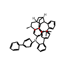 C[C@H]1C[C@@H]2C[C@@H]3C[C@H](C1)C21c2ccc(N(c4ccc(-c5ccccc5)cc4)c4ccccc4-c4ccccc4)cc2C(C)(C)c2ccccc2C31